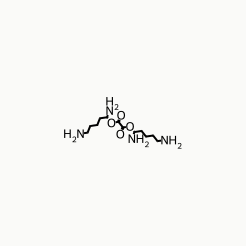 NCCCCC(N)OC(=O)C(=O)OC(N)CCCCN